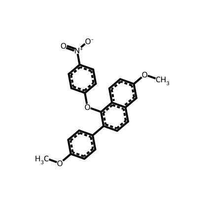 COc1ccc(-c2ccc3cc(OC)ccc3c2Oc2ccc([N+](=O)[O-])cc2)cc1